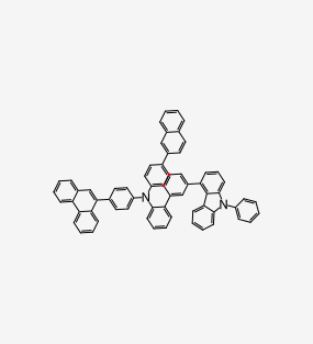 c1ccc(-n2c3ccccc3c3c(-c4cccc(-c5ccccc5N(c5ccc(-c6ccc7ccccc7c6)cc5)c5ccc(-c6cc7ccccc7c7ccccc67)cc5)c4)cccc32)cc1